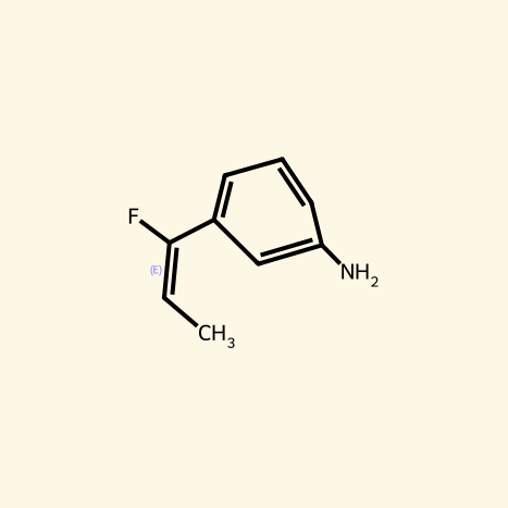 C/C=C(/F)c1cccc(N)c1